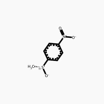 C[S@@+]([O-])c1ccc([N+](=O)[O-])cc1